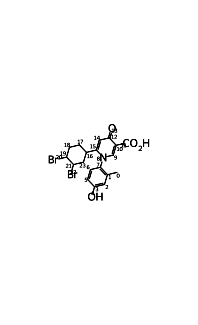 Cc1cc(O)ccc1-n1cc(C(=O)O)c(=O)cc1C1CCC(Br)C(Br)C1